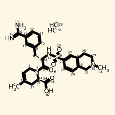 CC1=CCN(C(=O)[C@H](Cc2cccc(C(=N)N)c2)NS(=O)(=O)c2ccc3c(c2)CCN(C)C3)[C@@H](C(=O)O)C1.Cl.Cl